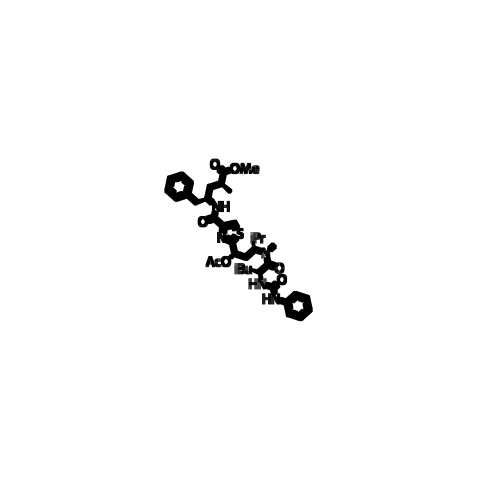 CC[C@H](C)[C@H](NC(=O)Nc1ccccc1)C(=O)N(C)[C@H](C[C@@H](OC(C)=O)c1nc(C(=O)N[C@@H](Cc2ccccc2)C[C@H](C)C(=O)OC)cs1)C(C)C